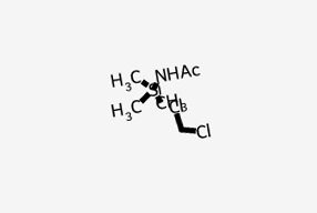 CC(=O)N[Si](C)(C)C.ClCCl